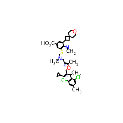 C=Nc1c(SCN(C)C/C=C(\C)OC/C(=C\C2CC2)C(=C)c2c(Cl)cc(C)cc2Cl)cc(C(=O)O)cc1C1CC2(CCOCC2)C1